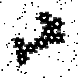 c1ccc(-c2nc3ccccc3n2-c2ccc(-c3ccc(-c4nc5ccccc5c5c4ccc4c5c5ccccc5n4-c4ccccc4)cc3)cc2)cc1